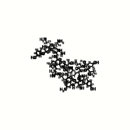 CC[C@H](C)[C@H](NC(=O)[C@@H](NC(=O)[C@@H]1C[C@@H](O)CN1C(=O)[C@@H](N)C(C)C)[C@@H](C)CC)C(=O)N[C@@H](Cc1ccc(O)cc1)C(=O)N[C@H](C(=O)N[C@@H](CC(N)=O)C(=O)N[C@@H](CCCNC(=N)N)C(=O)N[C@@H](CCN)C(=O)N[C@H](C(=O)N[C@H](CCN)C(=O)N[C@H](C(=O)N[C@@H](CS)C(=O)N[C@@H](CCN)C(=O)N[C@@H](CCN)C(=O)N[C@@H](Cc1ccc(O)cc1)C(=O)O)[C@@H](C)CC)[C@@H](C)O)C(C)(C)S